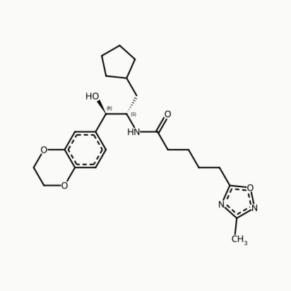 Cc1noc(CCCCC(=O)N[C@@H](CC2CCCC2)[C@H](O)c2ccc3c(c2)OCCO3)n1